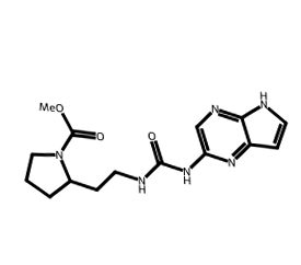 COC(=O)N1CCCC1CCNC(=O)Nc1cnc2[nH]ccc2n1